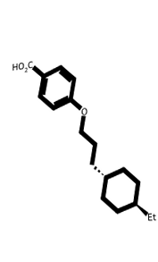 CC[C@H]1CC[C@H](CCCOc2ccc(C(=O)O)cc2)CC1